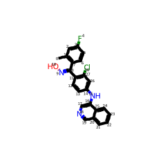 Cc1cc(F)ccc1C(=NO)c1ccc(Nc2cncc3ccccc23)cc1Cl